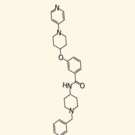 O=C(NC1CCN(Cc2ccccc2)CC1)c1cccc(OC2CCN(c3ccncc3)CC2)c1